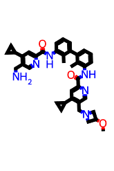 COC1CN(Cc2cnc(C(=O)Nc3cccc(-c4cccc(NC(=O)c5cc(C6CC6)c(CN)cn5)c4C)c3C)cc2C2CC2)C1